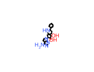 Nc1ncnc2c1ccn2C1CC2(CCC(c3ccccc3)NC2)C(O)C1O